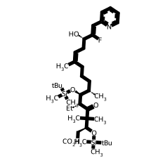 CC[C@@H](C(=O)C(C)(C)[C@H](CC(=O)O)O[Si](C)(C)C(C)(C)C)[C@@H](O[Si](C)(C)C(C)(C)C)[C@@H](C)CCC/C(C)=C\C[C@H](O)/C(F)=C/c1ccccn1